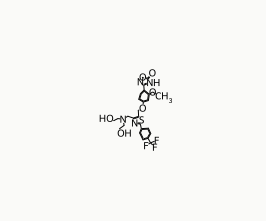 COc1cc(OCc2sc(-c3ccc(C(F)(F)F)cc3)nc2CN(CCO)CCO)ccc1-c1noc(=O)[nH]1